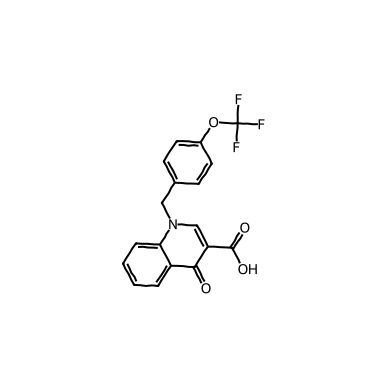 O=C(O)c1cn(Cc2ccc(OC(F)(F)F)cc2)c2ccccc2c1=O